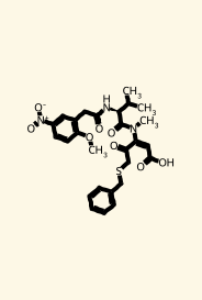 COc1ccc([N+](=O)[O-])cc1CC(=O)N[C@H](C(=O)N(C)/C(=C/C(=O)O)C(=O)CSCc1ccccc1)C(C)C